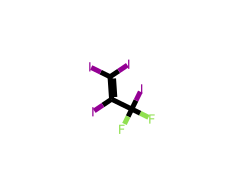 FC(F)(I)C(I)=C(I)I